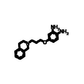 Nc1ccc(OCCCN2CCc3ccccc3C2)cc1N